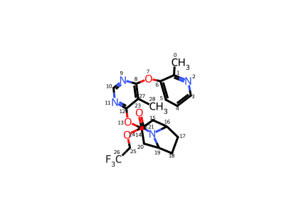 Cc1ncccc1Oc1ncnc(OC2CC3CCC(C2)N3C(=O)OCC(F)(F)F)c1C